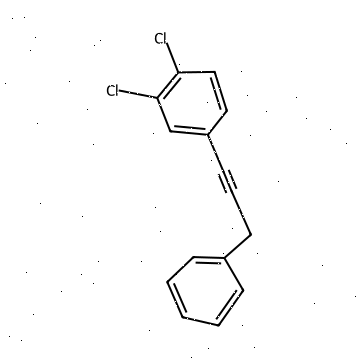 Clc1ccc(C#CCc2ccccc2)cc1Cl